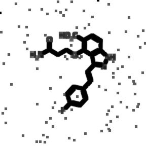 NC(=O)CCOc1c(C(=O)O)ccc2[nH]nc(C=Cc3ccc(F)cc3)c12